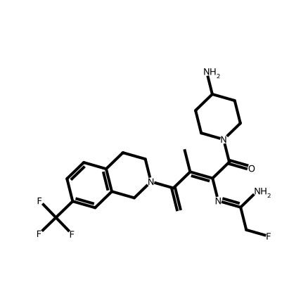 C=C(/C(C)=C(\N=C(/N)CF)C(=O)N1CCC(N)CC1)N1CCc2ccc(C(F)(F)F)cc2C1